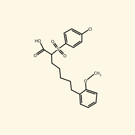 COc1ccccc1CCCCCC(C(=O)O)S(=O)(=O)c1ccc(Cl)cc1